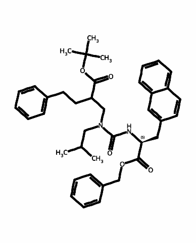 CC(C)CN(CC(CCc1ccccc1)C(=O)OC(C)(C)C)C(=O)N[C@@H](Cc1ccc2ccccc2c1)C(=O)OCc1ccccc1